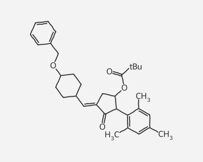 Cc1cc(C)c(C2C(=O)C(=CC3CCC(OCc4ccccc4)CC3)CC2OC(=O)C(C)(C)C)c(C)c1